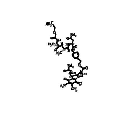 CO[C@]12C3[C@H](CN1C1=C(C(=O)C(N)=C(C)C1=O)[C@H]2COC(N)=O)N3C(=O)OCc1ccc(NC(=O)[C@H](CC(N)=O)NC(=O)[C@H](C)NC(=O)[C@H](C)NC(=O)COCC(=O)O)cc1